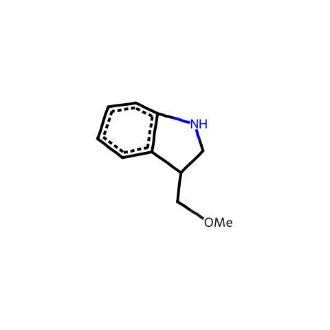 COCC1CNc2ccccc21